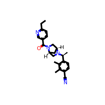 CCc1ccc(C(=O)N2C[C@@H]3C[C@H]2CN3[C@@H](C)c2ccc(C#N)c(C)c2C)cn1